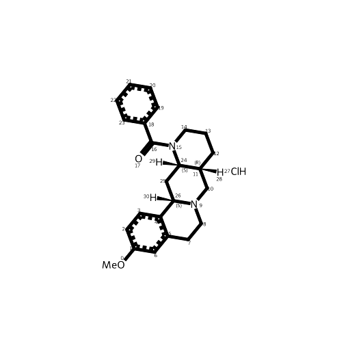 COc1ccc2c(c1)CCN1C[C@H]3CCCN(C(=O)c4ccccc4)[C@H]3C[C@@H]21.Cl